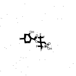 O=C(OC(CS(=O)(=O)O)(C(F)(F)F)C(F)(F)F)c1ccc(I)cc1O